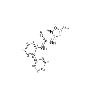 CC(C)(C)c1cc(NC(=O)Nc2ccccc2-c2ccccc2)no1